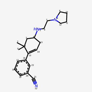 CC1(C)CC(NCCN2CCCC2)CC=C1c1cccc(C#N)c1